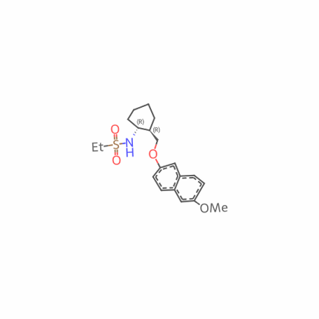 CCS(=O)(=O)N[C@@H]1CCCC[C@H]1COc1ccc2cc(OC)ccc2c1